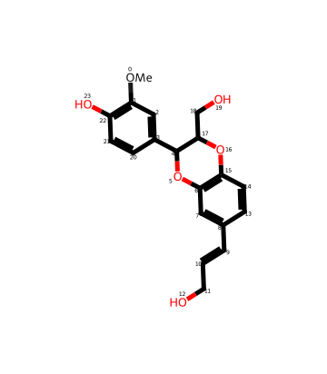 COc1cc(C2Oc3cc(C=CCO)ccc3OC2CO)ccc1O